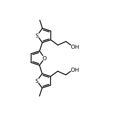 Cc1cc(CCO)c(-c2ccc(-c3sc(C)cc3CCO)o2)s1